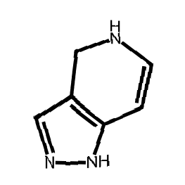 C1=Cc2[nH]ncc2CN1